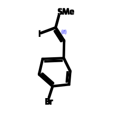 CS/C(I)=C/c1ccc(Br)cc1